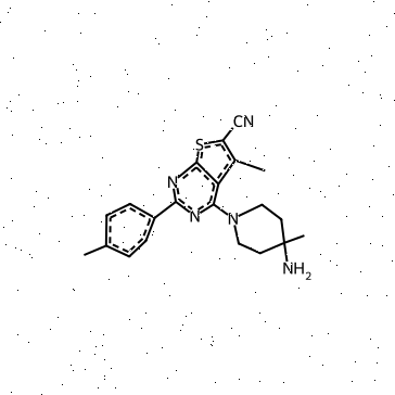 Cc1ccc(-c2nc(N3CCC(C)(N)CC3)c3c(C)c(C#N)sc3n2)cc1